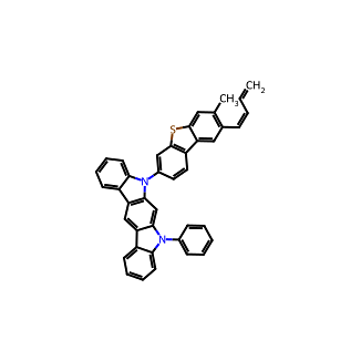 C=C/C=C\c1cc2c(cc1C)sc1cc(-n3c4ccccc4c4cc5c6ccccc6n(-c6ccccc6)c5cc43)ccc12